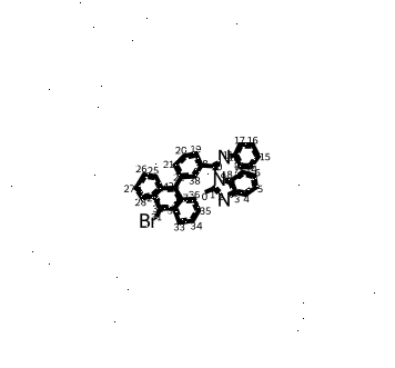 Cc1nc2ccccc2n1/C(=N\c1ccccc1)c1cccc(-c2c3ccccc3c(Br)c3ccccc23)c1